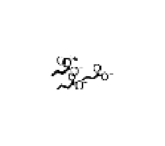 CCCC(=O)[O-].CCCC(=O)[O-].CCCC(=O)[O-].[Cr+3]